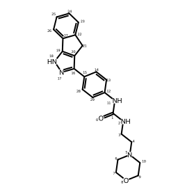 O=C(NCCN1CCOCC1)Nc1ccc(-c2n[nH]c3c2Cc2ccccc2-3)cc1